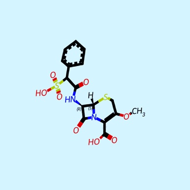 COC1=C(C(=O)O)N2C(=O)[C@@H](NC(=O)C(c3ccccc3)S(=O)(=O)O)[C@@H]2SC1